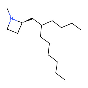 CCCCCCC(CCCC)C[C@H]1CCN1C